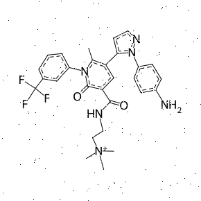 Cc1c(-c2ccnn2-c2ccc(N)cc2)cc(C(=O)NCC[N+](C)(C)C)c(=O)n1-c1cccc(C(F)(F)F)c1